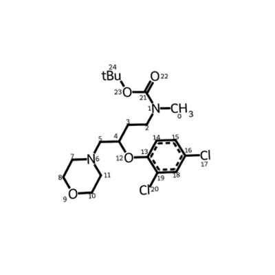 CN(CCC(CN1CCOCC1)Oc1ccc(Cl)cc1Cl)C(=O)OC(C)(C)C